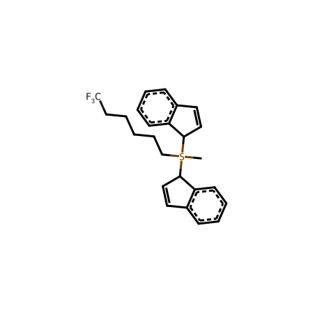 CS(CCCCCC(F)(F)F)(C1C=Cc2ccccc21)C1C=Cc2ccccc21